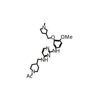 COc1ccc(Nc2nccc(NCC3CCN(C(C)=O)CC3)n2)cc1OCC1CCN(C)C1